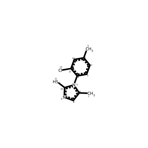 Cc1ccc(-n2c(C)cnc2S)c(Cl)c1